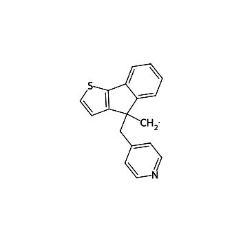 [CH2]C1(Cc2ccncc2)c2ccccc2-c2sccc21